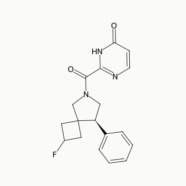 O=C(c1nccc(=O)[nH]1)N1C[C@@H](c2ccccc2)C2(CC(F)C2)C1